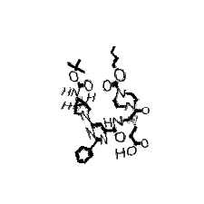 CCCCOC(=O)N1CCN(C(=O)[C@H](CCC(=O)O)NC(=O)c2cc(N3C[C@@H]4[C@H](C3)[C@H]4NC(=O)OC(C)(C)C)nc(-c3ccccc3)n2)CC1